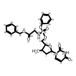 CC1CC(n2ccc(=O)[nH]c2=O)OC1COP(=O)(NCC(=O)OCc1ccccc1)Oc1ccccc1